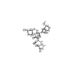 COc1cccc2[nH]c(C(=O)N3CCc4cc(Cl)ccc4C3C(=O)NC(C#N)CC3CCNC3=O)cc12